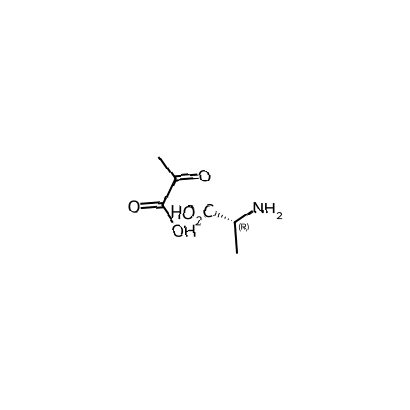 CC(=O)C(=O)O.C[C@@H](N)C(=O)O